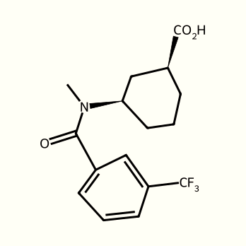 CN(C(=O)c1cccc(C(F)(F)F)c1)[C@@H]1CCC[C@H](C(=O)O)C1